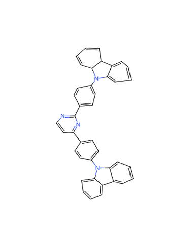 C1=CC2c3ccccc3N(c3ccc(-c4nccc(-c5ccc(-n6c7ccccc7c7ccccc76)cc5)n4)cc3)C2C=C1